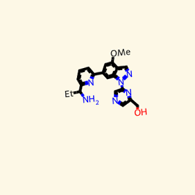 CCC(N)c1cccc(-c2cc(OC)c3cnn(-c4cncc(CO)n4)c3c2)n1